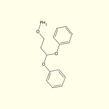 POCCC(Oc1ccccc1)Oc1ccccc1